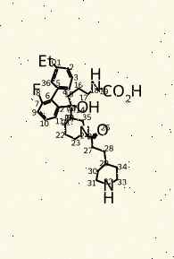 CCc1cccc(-c2c(F)cccc2[C@](O)(CCCNC(=O)O)[C@@H]2CCCN(C(=O)CCC3CCNCC3)C2)c1